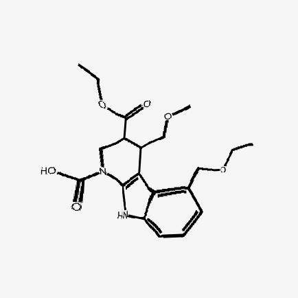 CCOCc1cccc2[nH]c3c(c12)C(COC)C(C(=O)OCC)CN3C(=O)O